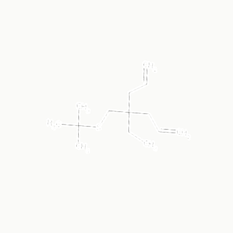 C=CCC(CC)(CC=C)CSC(C)(C)C